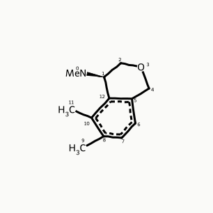 CN[C@H]1COCc2ccc(C)c(C)c21